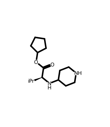 CC(C)[C@H](NC1CCNCC1)C(=O)OC1CCCC1